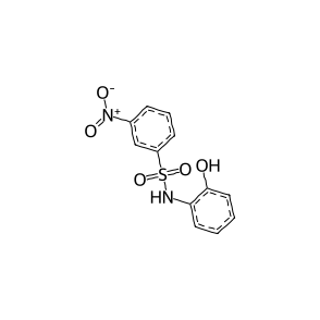 O=[N+]([O-])c1cccc(S(=O)(=O)Nc2ccccc2O)c1